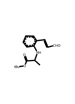 CC(Nc1ccccc1/C=C/[C]=O)C(=O)OC(C)(C)C